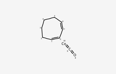 C1=CCCCCC=C1.O=[C]=[Co]